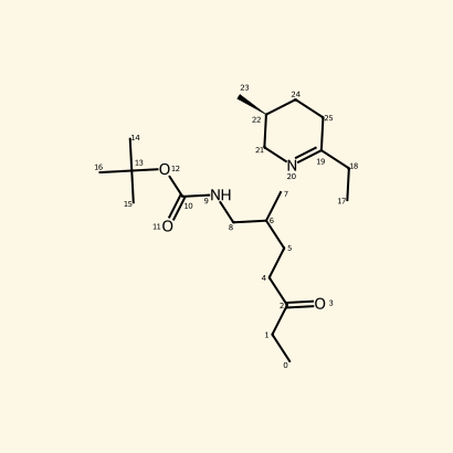 CCC(=O)CCC(C)CNC(=O)OC(C)(C)C.CCC1=NC[C@@H](C)CC1